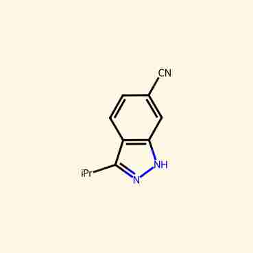 CC(C)c1n[nH]c2cc(C#N)ccc12